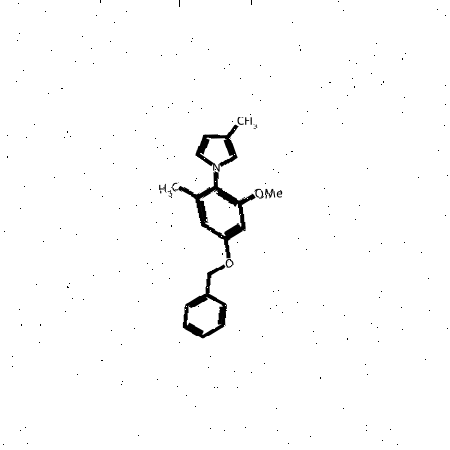 COc1cc(OCc2ccccc2)cc(C)c1-n1ccc(C)c1